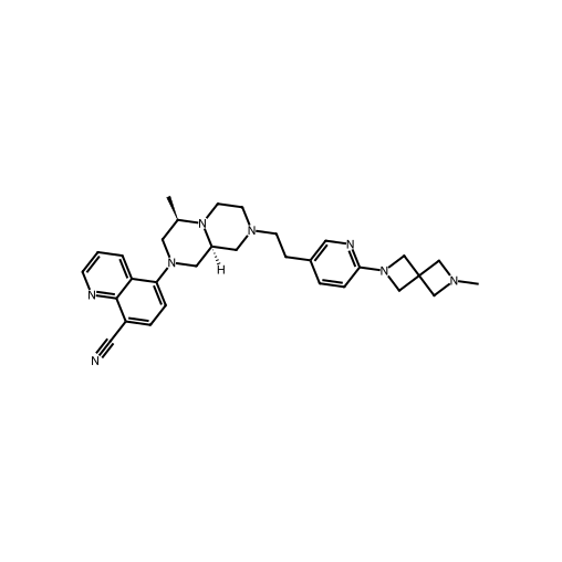 C[C@@H]1CN(c2ccc(C#N)c3ncccc23)C[C@@H]2CN(CCc3ccc(N4CC5(CN(C)C5)C4)nc3)CCN21